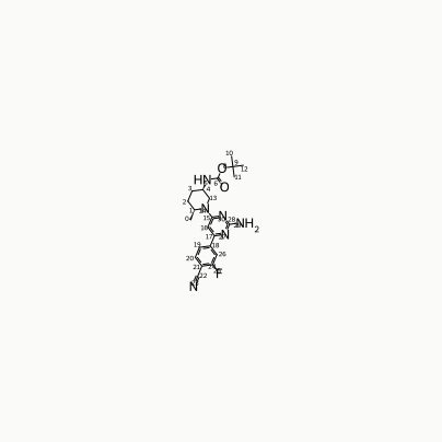 C[C@H]1CC[C@@H](NC(=O)OC(C)(C)C)CN1c1cc(-c2ccc(C#N)c(F)c2)nc(N)n1